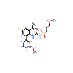 COCCCS(=O)(=O)NC(=O)Nc1c(-c2ccnc(OC)c2)cc(F)cc1C(C)C